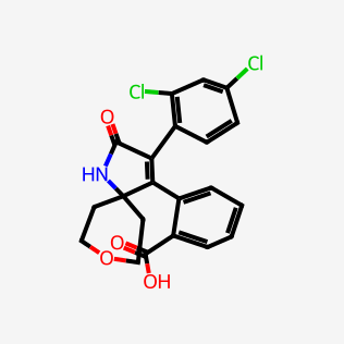 O=C1NC2(CCOCC2)C(c2ccccc2C(=O)O)=C1c1ccc(Cl)cc1Cl